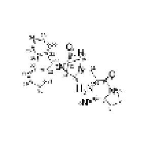 N#C[C@@H]1CCCN1C(=O)[C@@H](N)CN1CC2C[C@H]1C(=O)N2C1c2ccccc2-c2ccccc21